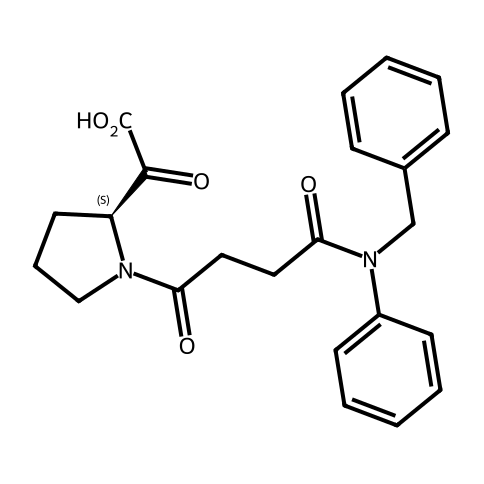 O=C(O)C(=O)[C@@H]1CCCN1C(=O)CCC(=O)N(Cc1ccccc1)c1ccccc1